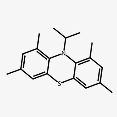 Cc1cc(C)c2c(c1)Sc1cc(C)cc(C)c1N2C(C)C